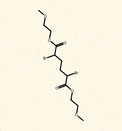 COCCOC(=O)C(Br)CCC(Br)C(=O)OCCOC